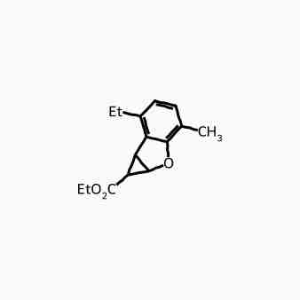 CCOC(=O)C1C2Oc3c(C)ccc(CC)c3C21